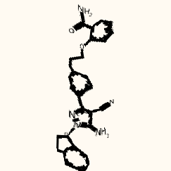 N#Cc1c(-c2ccc(CCOc3ccccc3C(N)=O)cc2)nn([C@@H]2CCc3ccccc32)c1N